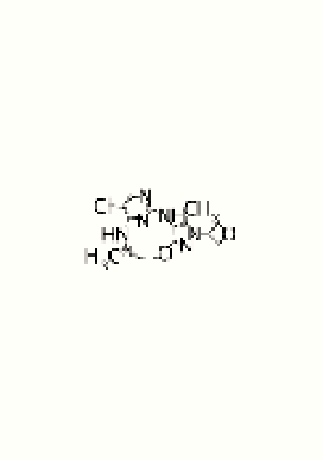 Cc1c2c(nn1C1COC1)OCC[C@@H](C)Nc1nc(ncc1Cl)N2